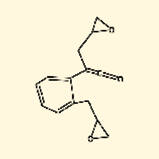 O=C=C(CC1CO1)c1ccccc1CC1CO1